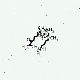 C=C(C)C(=O)CCCC[Si](C)(C)O[Si](C)(C)C[Si](C)(C)CCCCPC